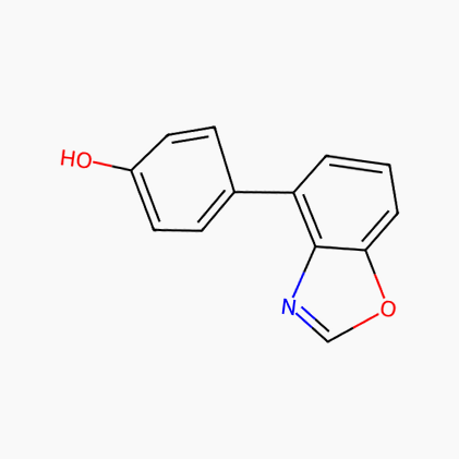 Oc1ccc(-c2cccc3ocnc23)cc1